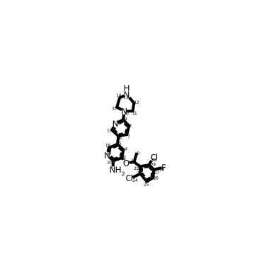 CC(Oc1cc(-c2ccc(N3CCNCC3)nc2)cnc1N)c1c(Cl)ccc(F)c1Cl